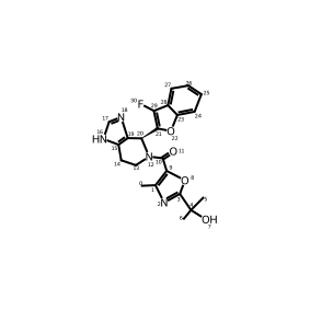 Cc1nc(C(C)(C)O)oc1C(=O)N1CCc2[nH]cnc2[C@H]1c1oc2ccccc2c1F